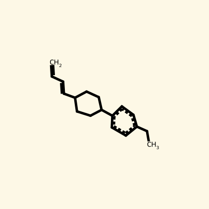 C=CC=CC1CCC(c2ccc(CC)cc2)CC1